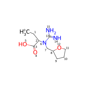 CCC(C(=O)O)N(CC1CCCO1)C(=N)N